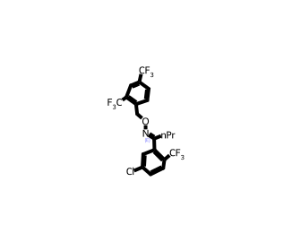 CCC/C(=N\OCc1ccc(C(F)(F)F)cc1C(F)(F)F)c1cc(Cl)ccc1C(F)(F)F